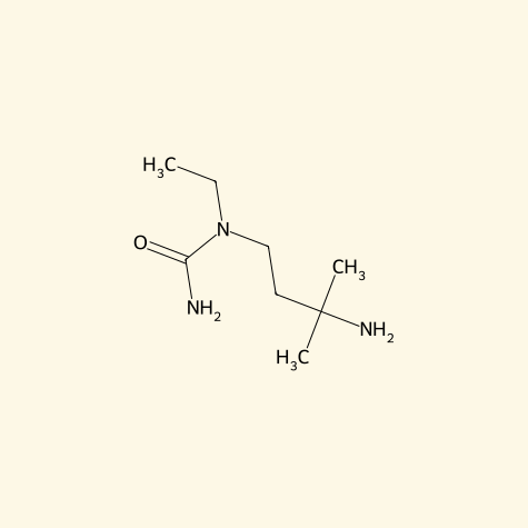 CCN(CCC(C)(C)N)C(N)=O